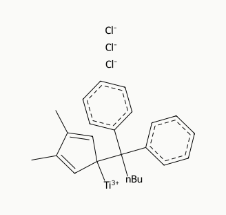 CCCCC(c1ccccc1)(c1ccccc1)[C]1([Ti+3])C=C(C)C(C)=C1.[Cl-].[Cl-].[Cl-]